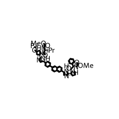 COC(=O)NC(C(=O)N1CCC[C@H]1c1ncc(-c2ccc3cc(-c4ccc(-c5cnc([C@@H]6CC(OC(F)F)CN6C(=O)[C@@H](NC(=O)OC)C(C)C)[nH]5)cc4)ccc3c2)[nH]1)c1ccccc1